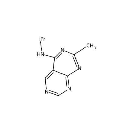 Cc1nc(NC(C)C)c2cncnc2n1